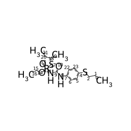 CCCSc1ccc(NC(=O)NP(=O)(OCC)SC(C)CC)cc1